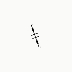 [CH2]C#CC(C)(C)C(C)(C)C#C[CH2]